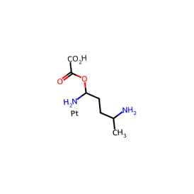 CC(N)CCC(N)OC(=O)C(=O)O.[Pt]